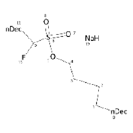 CCCCCCCCCCCCCCOS(=O)(=O)C(F)CCCCCCCCCC.[NaH]